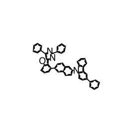 c1ccc(-c2ccc3c(c2)c2ccccc2n3-c2ccc3cc(-c4cccc5oc6c(-c7ccccc7)nc(-c7ccccc7)nc6c45)ccc3c2)cc1